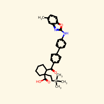 Cc1ccc2oc(Nc3ccc(-c4ccc(C(=O)C5CCCCC5(CC[Si](C)(C)C)C(=O)O)cc4)cc3)nc2c1